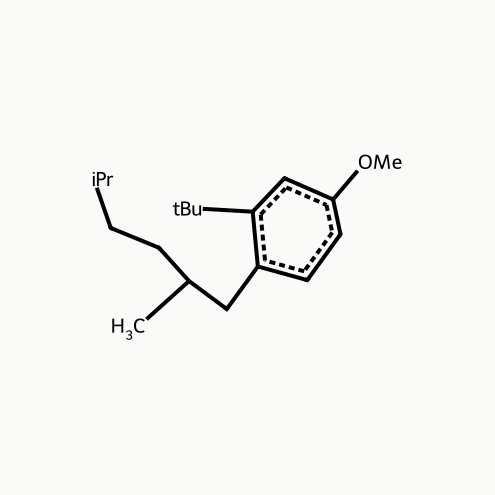 COc1ccc(CC(C)CCC(C)C)c(C(C)(C)C)c1